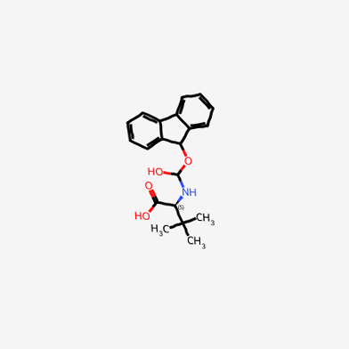 CC(C)(C)[C@H](NC(O)OC1c2ccccc2-c2ccccc21)C(=O)O